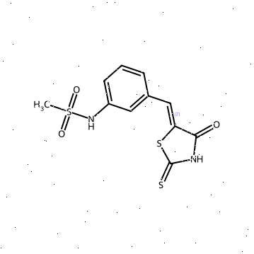 CS(=O)(=O)Nc1cccc(/C=C2\SC(=S)NC2=O)c1